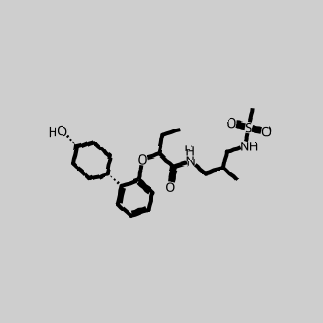 CCC(Oc1ccccc1[C@H]1CC[C@@H](O)CC1)C(=O)NCC(C)CNS(C)(=O)=O